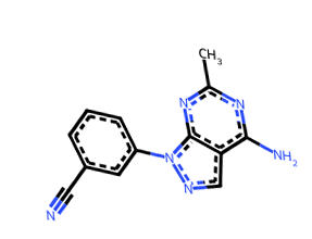 Cc1nc(N)c2cnn(-c3cccc(C#N)c3)c2n1